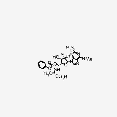 CNc1nc(N)nc2c1ncn2[C@@H]1O[C@H](CO[P@@](=O)(N[C@@H](C)C(=O)O)Oc2ccccc2)[C@@H](O)[C@@]1(F)Cl